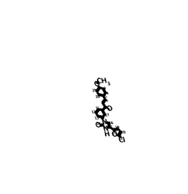 COc1ccc(C=CC(=O)c2cccc(-n3cc(-c4ccc(Cl)o4)[nH]c3=O)c2)cc1